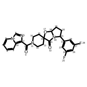 O=C(c1ncn2ccccc12)N1CCC2(CC1)OC1CCC(c3cc(F)cc(F)c3)N1C2=O